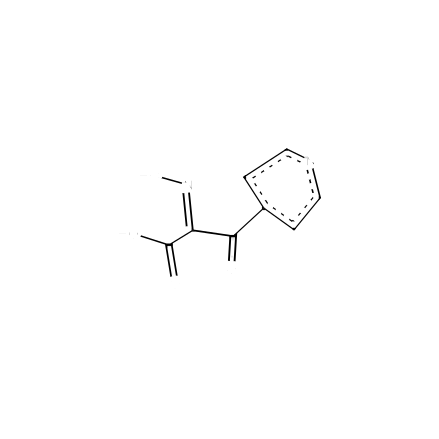 O=C(O)C(=NO)C(=O)c1ccncc1